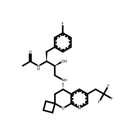 CC(=O)N[C@@H](Cc1cccc(F)c1)[C@@H](O)CN[C@H]1CC2(CCC2)Oc2ncc(CC(F)(F)F)cc21